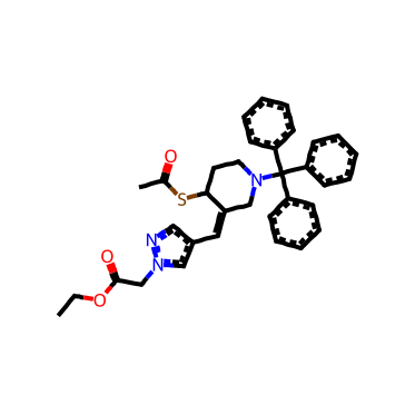 CCOC(=O)Cn1cc(/C=C2/CN(C(c3ccccc3)(c3ccccc3)c3ccccc3)CCC2SC(C)=O)cn1